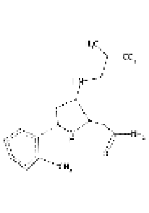 Cc1ccccc1[C@@H]1CC(NCC(C)C(=O)O)C(CC(N)=O)N1